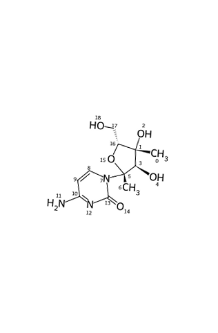 C[C@@]1(O)[C@@H](O)[C@](C)(n2ccc(N)nc2=O)O[C@@H]1CO